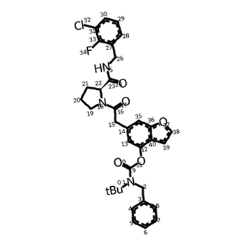 CC(C)(C)N(Cc1ccccc1)C(=O)Oc1cc(CC(=O)N2CCC[C@H]2C(=O)NCc2cccc(Cl)c2F)cc2occc12